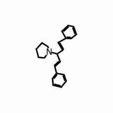 C(=C\C(/C=C/c1ccccc1)N1CCCCC1)/c1ccccc1